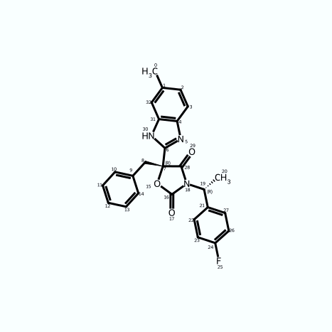 Cc1ccc2nc([C@@]3(Cc4ccccc4)OC(=O)N([C@H](C)c4ccc(F)cc4)C3=O)[nH]c2c1